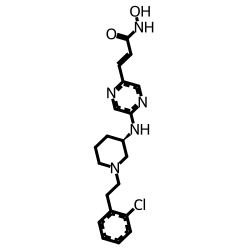 O=C(C=Cc1cnc(N[C@@H]2CCCN(CCc3ccccc3Cl)C2)cn1)NO